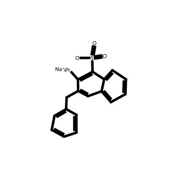 CC(C)c1c(Cc2ccccc2)cc2ccccc2c1S(=O)(=O)[O-].[Na+]